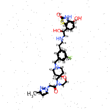 Cc1ccn(CC(=O)N2CCOC3(CCN(Cc4cc(F)cc(CCNCC(O)c5ccc(O)c6[nH]c(=O)sc56)c4)CC3)C2)n1